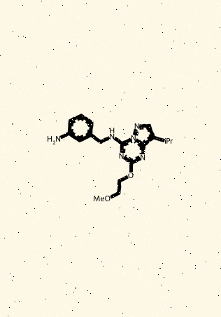 COCCOc1nc(NCc2cccc(N)c2)n2ncc(C(C)C)c2n1